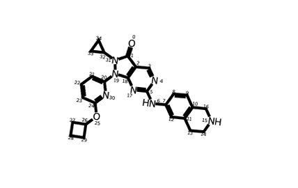 O=c1c2cnc(Nc3ccc4c(c3)CCNC4)nc2n(-c2cccc(OC3CCC3)n2)n1C1CC1